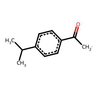 [CH2]C(=O)c1ccc(C(C)C)cc1